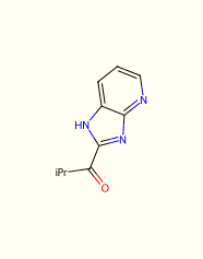 CC(C)C(=O)c1nc2ncccc2[nH]1